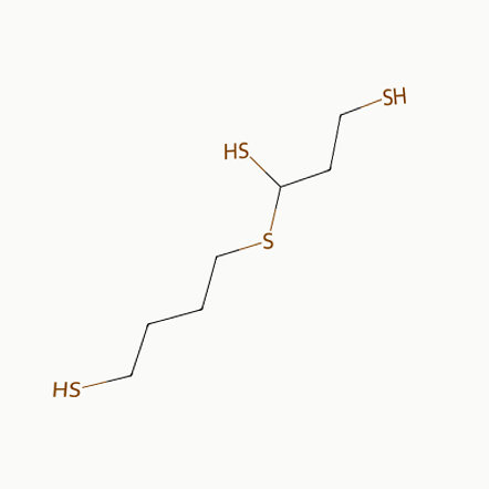 SCCCCSC(S)CCS